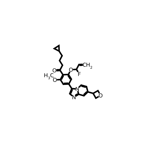 C=CC(F)Oc1cc(-c2cnc3cc(C4COC4)ccn23)cc(OC)c1C(=O)CCCC1CC1